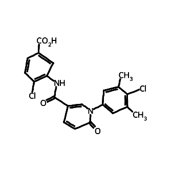 Cc1cc(-n2cc(C(=O)Nc3cc(C(=O)O)ccc3Cl)ccc2=O)cc(C)c1Cl